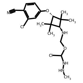 CNNC(Cl)OCN[C@H]1C(C)(C)[C@H](Oc2ccc(C#N)c(Cl)c2)C1(C)C